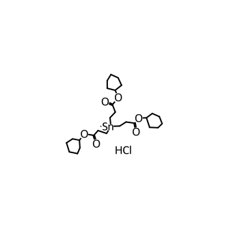 Cl.O=C(C[CH2][Sn]([CH2]CC(=O)OC1CCCCC1)[CH2]CC(=O)OC1CCCCC1)OC1CCCCC1